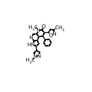 Cc1cc(-c2c(-c3ccccc3)c3c4cc(-c5cnn(C)c5)[nH]c4ncc3n(C)c2=O)on1